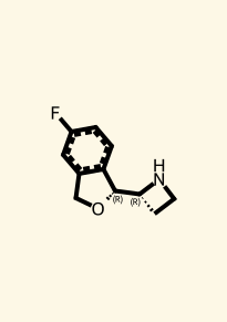 Fc1ccc2c(c1)CO[C@H]2[C@H]1CCN1